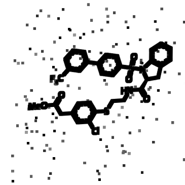 COC(=O)Cc1ccc(SCCNC(=O)[C@@H]2Cc3ccccc3N2S(=O)(=O)c2ccc(-c3cccc(C(F)(F)F)c3)cc2)c(Cl)c1